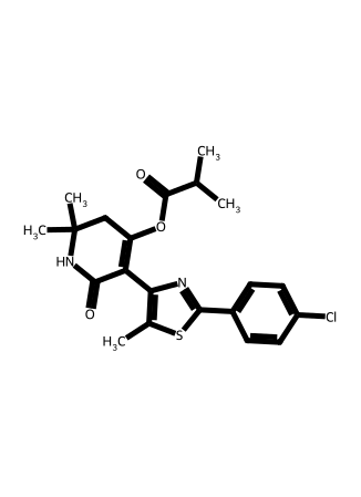 Cc1sc(-c2ccc(Cl)cc2)nc1C1=C(OC(=O)C(C)C)CC(C)(C)NC1=O